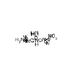 Cc1cc(Nc2ccc(C(=O)Nc3ccc(Nc4ccnc5ccc([N+](=O)[O-])cc45)cc3)cc2)nc(N)n1.Cl.Cl